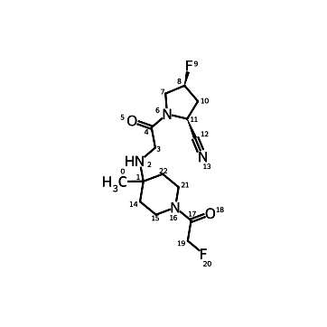 CC1(NCC(=O)N2C[C@@H](F)C[C@H]2C#N)CCN(C(=O)CF)CC1